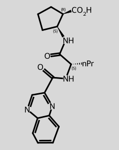 CCC[C@H](NC(=O)c1cnc2ccccc2n1)C(=O)N[C@H]1CCC[C@H]1C(=O)O